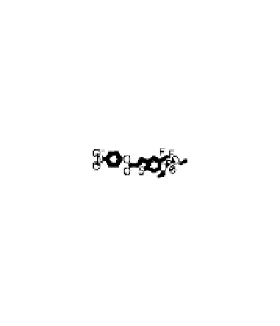 CCOP(=O)(OCC)C(F)(F)c1ccc2sc(C(=O)Oc3ccc([N+](=O)[O-])cc3)cc2c1